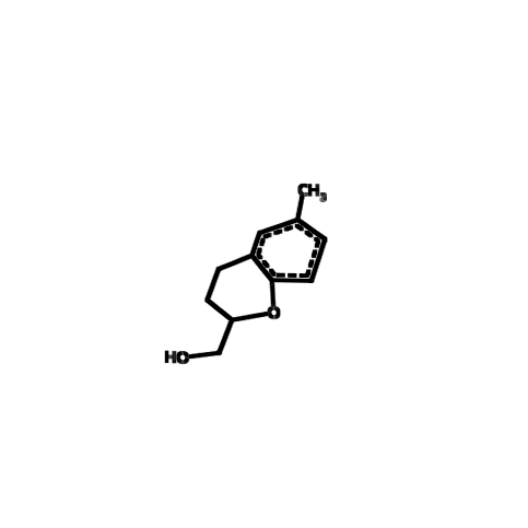 Cc1ccc2c(c1)CCC(CO)O2